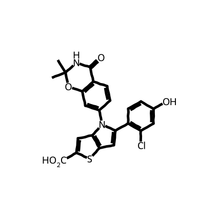 CC1(C)NC(=O)c2ccc(-n3c(-c4ccc(O)cc4Cl)cc4sc(C(=O)O)cc43)cc2O1